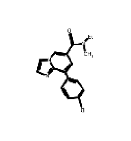 CCN(C)C(=O)c1cc(-c2ccc(Cl)cc2)c2nccn2c1